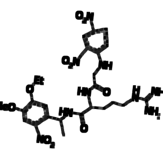 CCOc1cc(C(C)NC(=O)C(CCCNC(=N)N)NC(=O)CNc2ccc([N+](=O)[O-])cc2[N+](=O)[O-])c([N+](=O)[O-])cc1OC